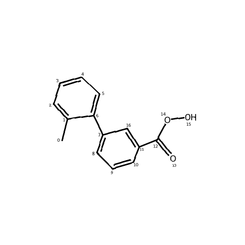 Cc1ccccc1-c1cccc(C(=O)OO)c1